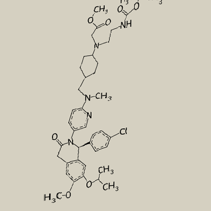 COC(=O)CN(CCNC(=O)OC(C)(C)C)C1CCC(CN(C)c2ccc(N3C(=O)Cc4cc(OC)c(OC(C)C)cc4[C@@H]3c3ccc(Cl)cc3)cn2)CC1